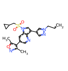 C=CCn1cc(-c2cn(S(=O)(=O)CC3CC3)c3cc(-c4c(C)noc4C)cnc23)cn1